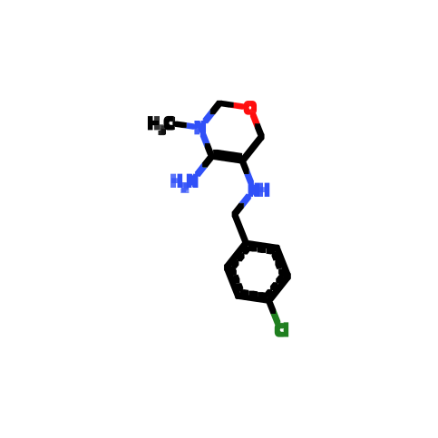 CN1COCC(NCc2ccc(Cl)cc2)=C1N